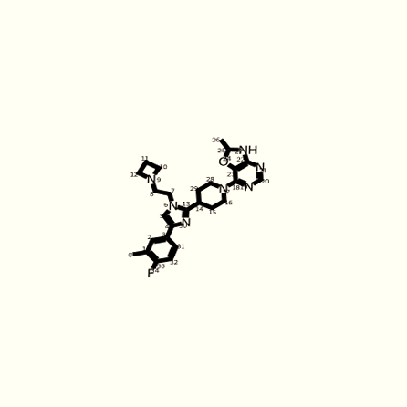 Cc1cc(-c2cn(CCN3CCC3)c(C3CCN(c4ncnc5c4OC(C)N5)CC3)n2)ccc1F